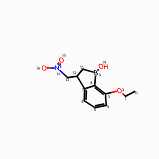 CCOc1cccc2c1B(O)CC2C[N+](=O)[O-]